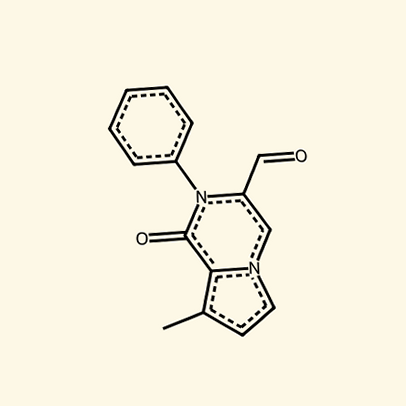 Cc1ccn2cc(C=O)n(-c3ccccc3)c(=O)c12